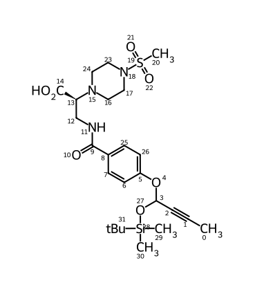 CC#CC(Oc1ccc(C(=O)NC[C@@H](C(=O)O)N2CCN(S(C)(=O)=O)CC2)cc1)O[Si](C)(C)C(C)(C)C